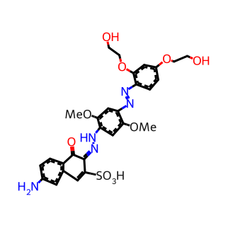 COc1cc(N/N=C2\C(=O)c3ccc(N)cc3C=C2S(=O)(=O)O)c(OC)cc1/N=N/c1ccc(OCCO)cc1OCCO